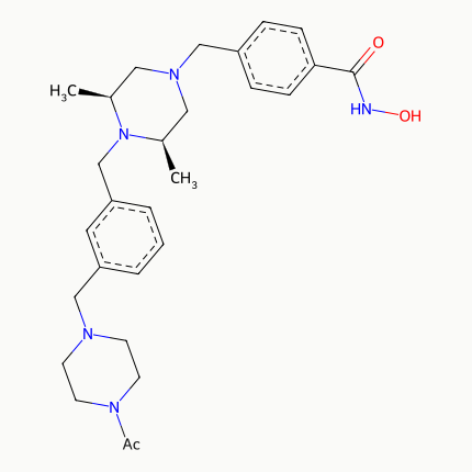 CC(=O)N1CCN(Cc2cccc(CN3[C@H](C)CN(Cc4ccc(C(=O)NO)cc4)C[C@@H]3C)c2)CC1